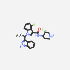 CC(c1n[nH]c2ccccc12)n1cc(C(=O)NC2CCNC[C@@H]2F)c2c(F)cccc21